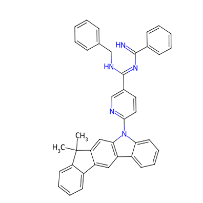 CC1(C)c2ccccc2-c2cc3c4ccccc4n(-c4ccc(/C(=N/C(=N)c5ccccc5)NCc5ccccc5)cn4)c3cc21